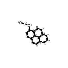 O=BOc1ccc2ccc3cccc4ccc1c2c34